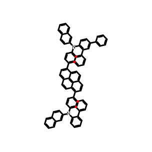 c1ccc(-c2ccc(N(c3ccc(-c4ccc5ccc6c(-c7ccc(N(c8ccc9ccccc9c8)c8ccccc8-c8ccccc8)cc7)ccc7ccc4c5c76)cc3)c3ccc4ccccc4c3)c(-c3ccccc3)c2)cc1